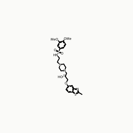 COc1ccc(S(=O)(=O)NCCN2CCN(C[C@@H](O)COc3ccc4sc(C)nc4c3)CC2)cc1OC